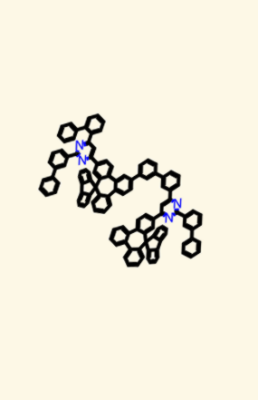 c1ccc(-c2cccc(-c3nc(-c4cccc(-c5cccc(-c6ccc7c(c6)-c6ccc(-c8cc(-c9ccccc9-c9ccccc9)nc(-c9cccc(-c%10ccccc%10)c9)n8)cc6C6(c8ccccc8-7)c7ccccc7-c7ccccc76)c5)c4)cc(-c4ccc5c(c4)C4(c6ccccc6-c6ccccc6-5)c5ccccc5-c5ccccc54)n3)c2)cc1